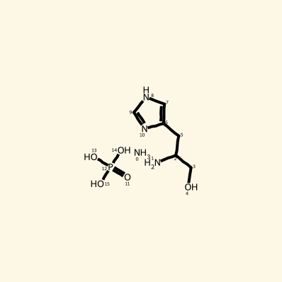 N.NC(CO)Cc1c[nH]cn1.O=P(O)(O)O